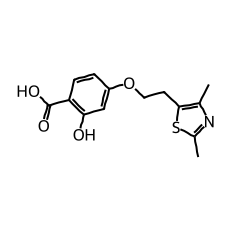 Cc1nc(C)c(CCOc2ccc(C(=O)O)c(O)c2)s1